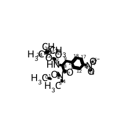 CCON(CC)C(=O)C(Cc1ccc([N+](=O)[O-])cc1)NC(=O)OC(C)(C)C